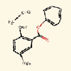 CC=O.COc1ccc(OC(C)=O)c(C(=O)Oc2ccccc2)c1